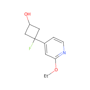 CCOc1cc(C2(F)CC(O)C2)ccn1